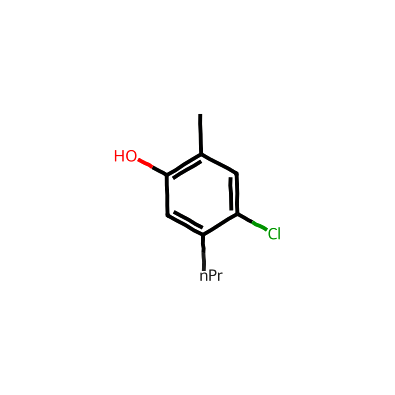 CCCc1cc(O)c(C)cc1Cl